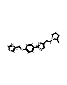 CC1CCCN1CCc1coc(-c2ccc(OCc3cscn3)cc2)n1